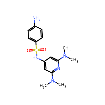 CN(C)c1cc(NS(=O)(=O)c2ccc(N)cc2)cc(N(C)C)n1